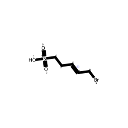 O=S(=O)(O)CC/C=C/CBr